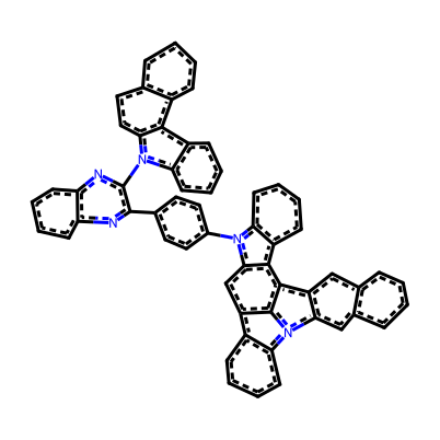 c1ccc2cc3c(cc2c1)c1c2c4ccccc4n(-c4ccc(-c5nc6ccccc6nc5-n5c6ccccc6c6c7ccccc7ccc65)cc4)c2cc2c4ccccc4n3c21